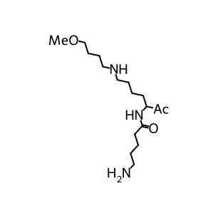 COCCCCNCCCCC(NC(=O)CCCCN)C(C)=O